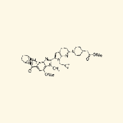 COC(=O)CC1CCN(c2ccc3cc(-c4nc5cc(C(=O)N6CC7CCC6[C@@H]7N)cc(OC)c5n4C)n(CC4CC4)c3n2)CC1